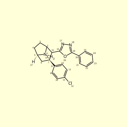 CN1C2CC[C@@H]1C[C@H](c1ccc(Cl)cc1)C2c1nnc(-c2ccccc2)o1